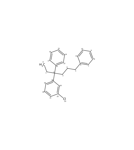 [CH2]CC(CCCc1ccccc1)(c1ccccc1)c1cccc(Cl)c1